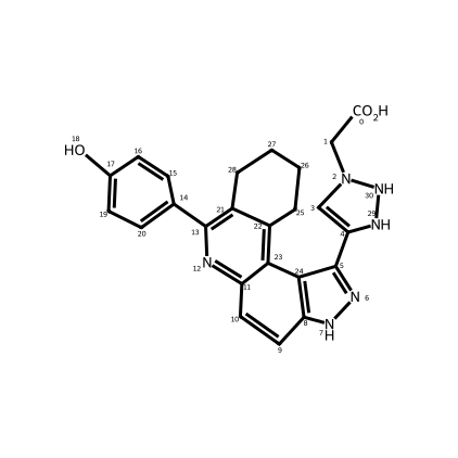 O=C(O)CN1C=C(c2n[nH]c3ccc4nc(-c5ccc(O)cc5)c5c(c4c23)CCCC5)NN1